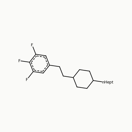 CCCCCCCC1CCC(CCc2cc(F)c(F)c(F)c2)CC1